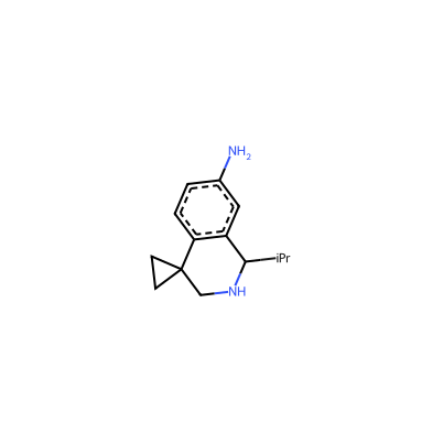 CC(C)C1NCC2(CC2)c2ccc(N)cc21